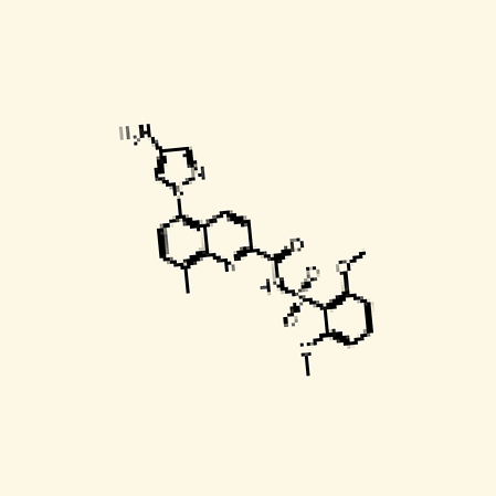 COc1cccc(OC)c1S(=O)(=O)NC(=O)c1ccc2c(-n3cc(N)cn3)ccc(C)c2n1